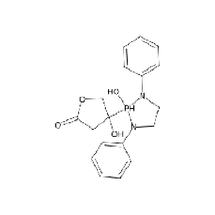 O=C1CC(O)([PH]2(O)N(c3ccccc3)CCN2c2ccccc2)CO1